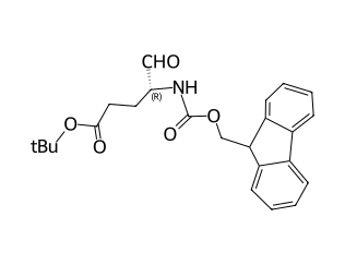 CC(C)(C)OC(=O)CC[C@H](C=O)NC(=O)OCC1c2ccccc2-c2ccccc21